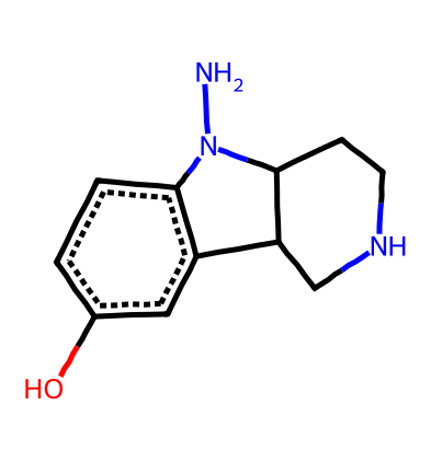 NN1c2ccc(O)cc2C2CNCCC21